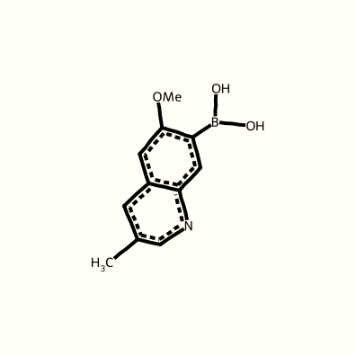 COc1cc2cc(C)cnc2cc1B(O)O